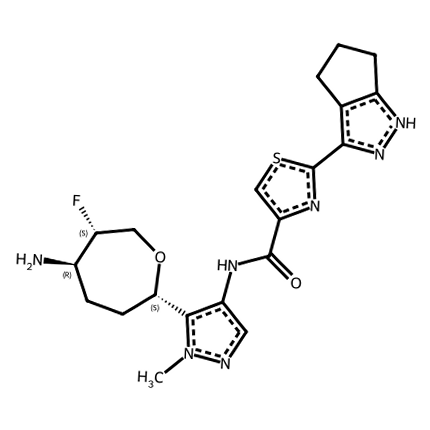 Cn1ncc(NC(=O)c2csc(-c3n[nH]c4c3CCC4)n2)c1[C@@H]1CC[C@@H](N)[C@H](F)CO1